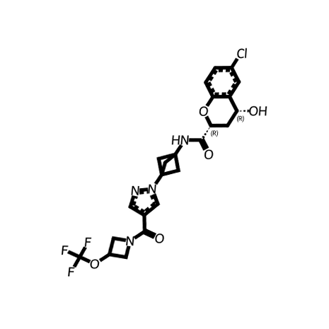 O=C(NC12CC(n3cc(C(=O)N4CC(OC(F)(F)F)C4)cn3)(C1)C2)[C@H]1C[C@@H](O)c2cc(Cl)ccc2O1